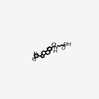 COc1cncc(C2=CCC3C4CCc5cc(C(=O)NCCCC(=O)O)ccc5C4CC[C@]23C)c1